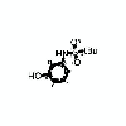 CC(C)(C)S(=O)(=O)Nc1cccc(O)c1